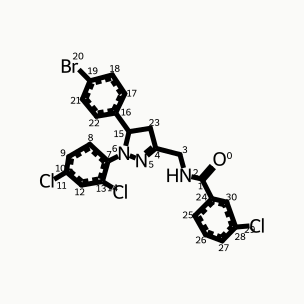 O=C(NCC1=NN(c2ccc(Cl)cc2Cl)C(c2ccc(Br)cc2)C1)c1cccc(Cl)c1